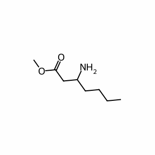 CCCCC(N)CC(=O)OC